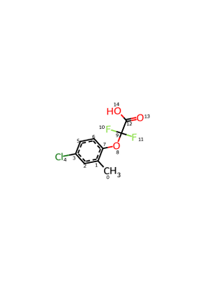 Cc1cc(Cl)ccc1OC(F)(F)C(=O)O